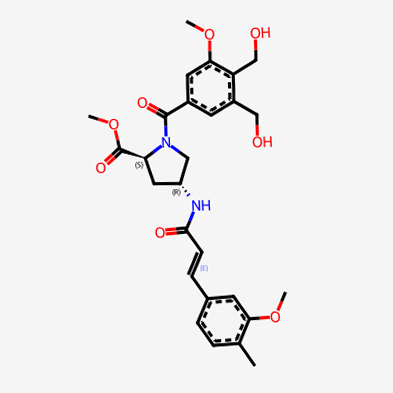 COC(=O)[C@@H]1C[C@@H](NC(=O)/C=C/c2ccc(C)c(OC)c2)CN1C(=O)c1cc(CO)c(CO)c(OC)c1